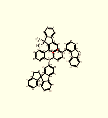 CC1(C)c2ccccc2-c2cccc(-c3ccccc3N(c3ccc(-c4cccc5oc6ccccc6c45)cc3)c3ccc4c(c3)C3(CCc5ccccc53)c3ccccc3-4)c21